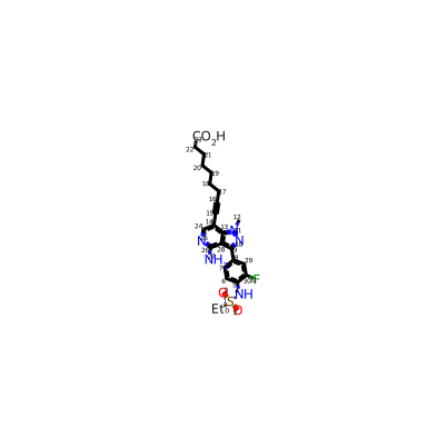 CCS(=O)(=O)Nc1ccc(-c2nn(C)c3c(C#CCCCCCCC(=O)O)cnc(N)c23)cc1F